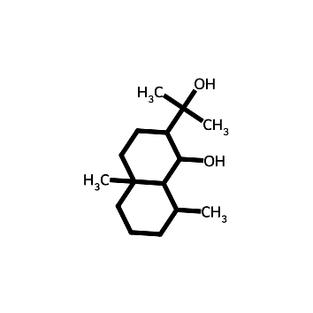 CC1CCCC2(C)CCC(C(C)(C)O)C(O)C12